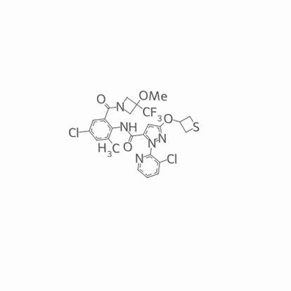 COC1(C(F)(F)F)CN(C(=O)c2cc(Cl)cc(C)c2NC(=O)c2cc(OC3CSC3)nn2-c2ncccc2Cl)C1